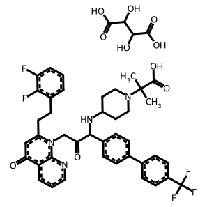 CC(C)(C(=O)O)N1CCC(NC(C(=O)Cn2c(CCc3cccc(F)c3F)cc(=O)c3cccnc32)c2ccc(-c3ccc(C(F)(F)F)cc3)cc2)CC1.O=C(O)C(O)C(O)C(=O)O